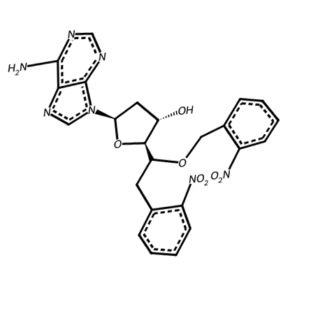 Nc1ncnc2c1ncn2[C@H]1C[C@H](O)[C@@H](C(Cc2ccccc2[N+](=O)[O-])OCc2ccccc2[N+](=O)[O-])O1